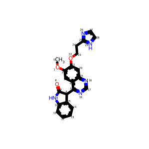 COc1cc2c(C3C(=O)Nc4ccccc43)ncnc2cc1OCCc1ncc[nH]1